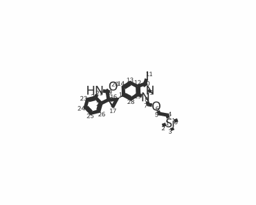 C[Si](C)(C)CCOCn1nc(I)c2ccc([C@@H]3C[C@@]34C(=O)Nc3ccccc34)cc21